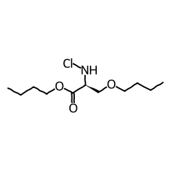 CCCCOC[C@H](NCl)C(=O)OCCCC